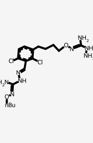 CCCCO/N=C(\N)N/N=C/c1c(Cl)ccc(CCCCO/N=C(\N)NN)c1Cl